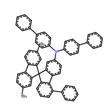 CC(C)(C)c1ccc2c(c1)C1(c3cc(C(C)(C)C)ccc3-2)c2cc(N(c3ccc(-c4ccccc4)cc3)c3ccc(-c4ccccc4)cc3)ccc2-c2c(-c3ccccc3)cccc21